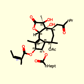 C/C=C(/C)C(=O)O[C@H]1C(C)=C2[C@H]([C@@H]1OC(=O)CCCCCCC)[C@@](C)(OC(C)=O)C[C@H](CC(=O)CCC)[C@@]1(O)[C@H]2OC(=O)[C@@]1(C)O